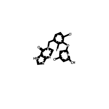 N#Cc1cc(Cl)cc(Oc2c(Cl)ccc(Cn3cnc4nc[nH]c4c3=O)c2F)c1